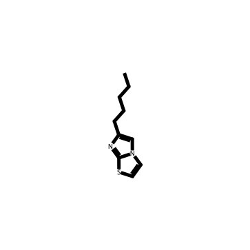 CCCCCc1cn2ccsc2n1